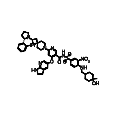 CC(C)c1ccccc1[C@@H]1CCCN1C1CC2(CCN(c3cc(Oc4cnc5[nH]ccc5c4)c(C(=O)NS(=O)(=O)c4ccc(NCC5CCC(C)(O)CC5)c([N+](=O)[O-])c4)cn3)CC2)C1